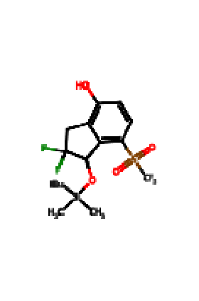 CC(C)(C)[Si](C)(C)OC1c2c(S(=O)(=O)C(F)(F)F)ccc(O)c2CC1(F)F